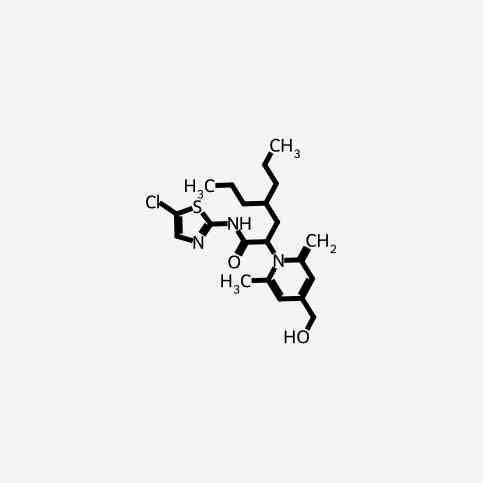 C=C1C=C(CO)C=C(C)N1C(CC(CCC)CCC)C(=O)Nc1ncc(Cl)s1